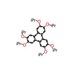 CC(C)Oc1cc2c3cc(OC(C)C)c(OC(C)C)cc3c3cc(OC(C)C)c(OC(C)C)cc3c2cc1OC(C)C